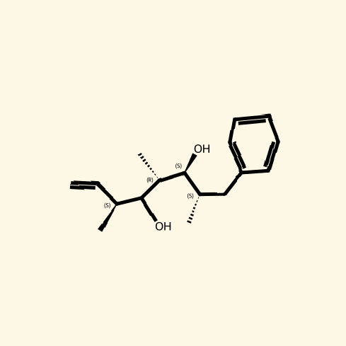 C=C[C@H](C)C(O)[C@H](C)[C@@H](O)[C@@H](C)Cc1ccccc1